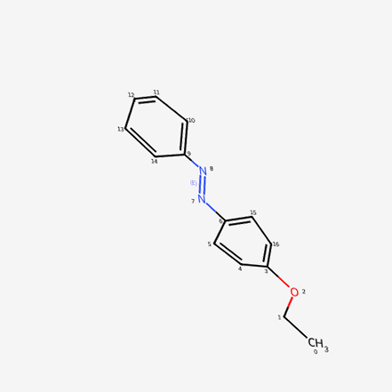 CCOc1ccc(/N=N/c2[c]c[c]cc2)cc1